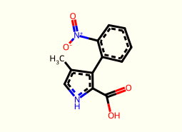 Cc1c[nH]c(C(=O)O)c1-c1ccccc1[N+](=O)[O-]